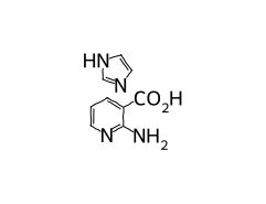 Nc1ncccc1C(=O)O.c1c[nH]cn1